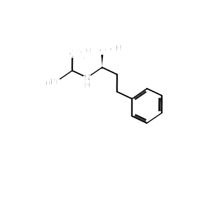 CCCC(N[C@H](CCc1ccccc1)C(=O)O)C(=O)O